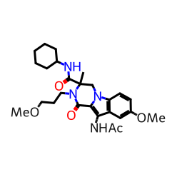 COCCCN1C(=O)c2c(NC(C)=O)c3cc(OC)ccc3n2CC1(C)C(=O)NC1CCCCC1